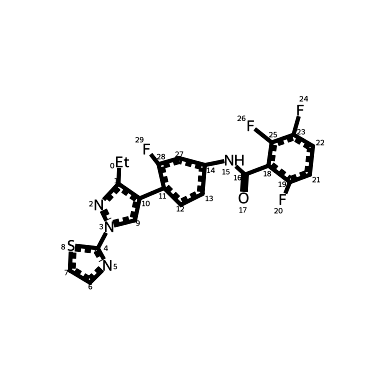 CCc1nn(-c2nccs2)cc1-c1ccc(NC(=O)c2c(F)ccc(F)c2F)cc1F